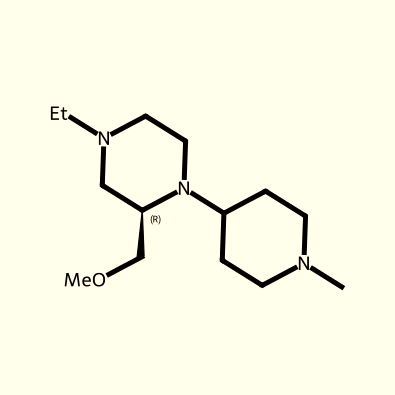 CCN1CCN(C2CCN(C)CC2)[C@@H](COC)C1